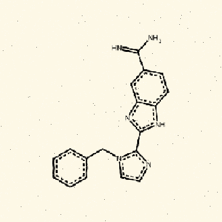 N=C(N)c1ccc2[nH]c(-c3nccn3Cc3ccccc3)nc2c1